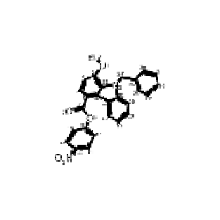 CCOc1ccc(C(=O)Oc2ccc([N+](=O)[O-])cc2)c2c3ccccc3n(Cc3ccccc3)c12